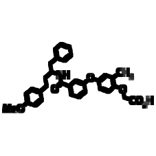 COc1ccc(CCC(Cc2ccccc2)NC(=O)c2cccc(Oc3ccc(OCC(=O)O)c(C)c3)c2)cc1